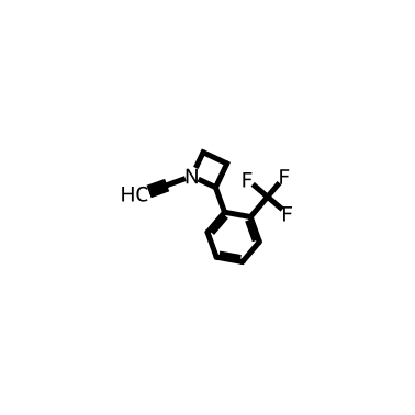 C#CN1CCC1c1ccccc1C(F)(F)F